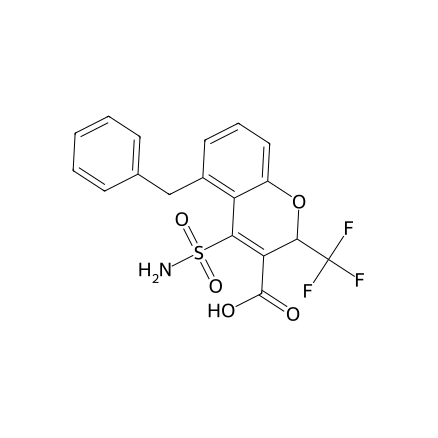 NS(=O)(=O)C1=C(C(=O)O)C(C(F)(F)F)Oc2cccc(Cc3ccccc3)c21